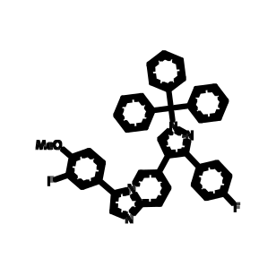 COc1ccc(-c2cnc3ccc(-c4cn(C(c5ccccc5)(c5ccccc5)c5ccccc5)nc4-c4ccc(F)cc4)cn23)cc1F